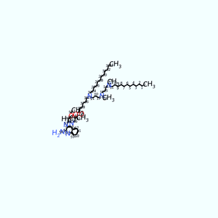 CCCCCCCCCCCCN(C)CCCN(C)CCCN(CCCCCCCCCCCC)CCCCCC(=O)OC(C)(C)Cn1c(COCC)nc2c(N)nc3ccccc3c21